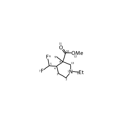 CCN1CCC(C(F)F)C(C)(C(=O)OC)C1